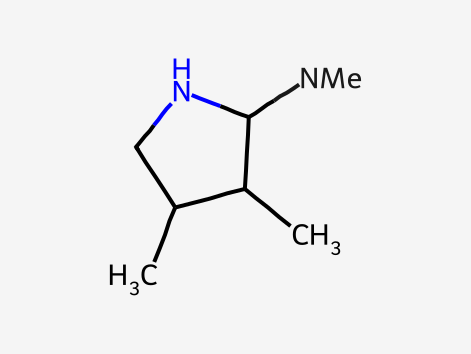 CNC1NCC(C)C1C